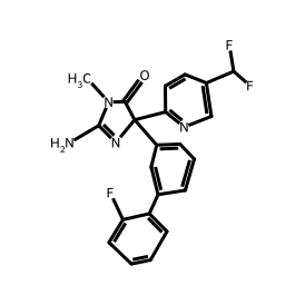 CN1C(=O)C(c2cccc(-c3ccccc3F)c2)(c2ccc(C(F)F)cn2)N=C1N